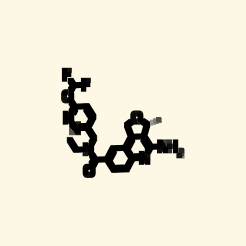 CCN(Cc1ccc(OC(F)F)nn1)C(=O)c1ccc2nc(N)c3c(c2c1)CO[C@@H]3C